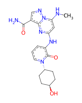 CNc1cc(Nc2cccn([C@H]3CC[C@H](O)CC3)c2=O)nc2c(C(N)=O)cnn12